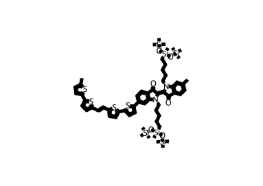 Cc1ccc2c(c1)N(CCCCC[Si](C)(O[Si](C)(C)C)O[Si](C)(C)C)/C(=C1\C(=O)c3ccc(-c4ccc(-c5ccc(/C=C/c6ccc(-c7ccc(C)s7)s6)s5)s4)cc3N1CCCCC[Si](C)(O[Si](C)(C)C)O[Si](C)(C)C)C2=O